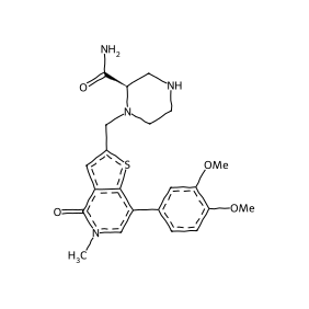 COc1ccc(-c2cn(C)c(=O)c3cc(CN4CCNC[C@@H]4C(N)=O)sc23)cc1OC